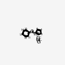 C1=CCC=C1.[Cl-].[Cl-].[Cl-].[Ti+3][O]c1ccccc1